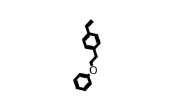 C=Cc1ccc(CCOc2ccccc2)cc1